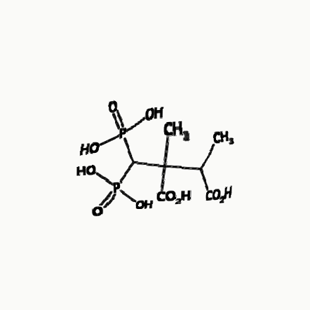 CC(C(=O)O)C(C)(C(=O)O)C(P(=O)(O)O)P(=O)(O)O